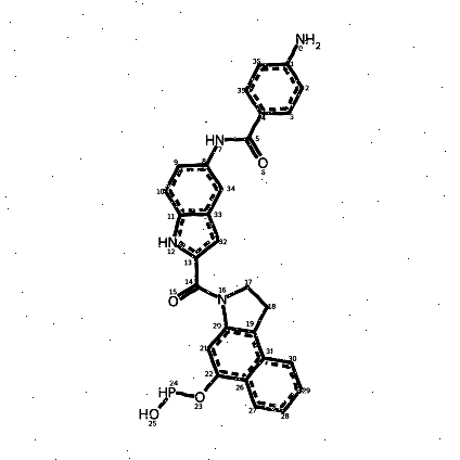 Nc1ccc(C(=O)Nc2ccc3[nH]c(C(=O)N4CCc5c4cc(OPO)c4ccccc54)cc3c2)cc1